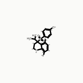 CC(C)C1(S(=O)(=O)c2ccc(Cl)cc2)CCOc2c(F)ccc(F)c21